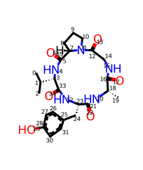 CC(C)[C@@H]1NC(=O)[C@@H]2CCCN2C(=O)CNC(=O)[C@H](C)NC(=O)[C@H](Cc2ccc(O)cc2)NC1=O